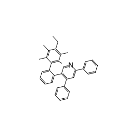 CCc1c(C)c(C)c(-c2ccccc2-c2cnc(-c3ccccc3)cc2-c2ccccc2)c(C)c1C